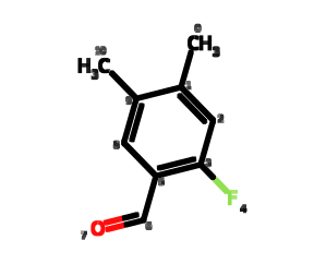 Cc1cc(F)c(C=O)cc1C